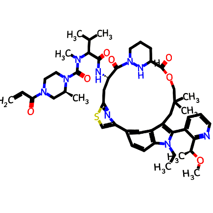 C=CC(=O)N1CCN(C(=O)N(C)C(C(=O)N[C@H]2Cc3nc(cs3)-c3ccc4c(c3)c(c(-c3cccnc3[C@H](C)OC)n4CC)CC(C)(C)COC(=O)[C@@H]3CCCN(N3)C2=O)C(C)C)[C@@H](C)C1